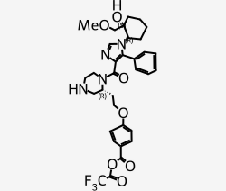 COC[C@]1(O)CCCC[C@H]1n1cnc(C(=O)N2CCNC[C@H]2CCOc2ccc(C(=O)OC(=O)C(F)(F)F)cc2)c1-c1ccccc1